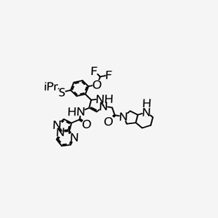 CC(C)Sc1ccc(OC(F)F)c(C2NN(CC(=O)N3CC4CCCNC4C3)C=C2NC(=O)c2cnn3cccnc23)c1